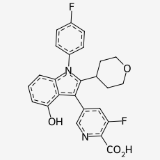 O=C(O)c1ncc(-c2c(C3CCOCC3)n(-c3ccc(F)cc3)c3cccc(O)c23)cc1F